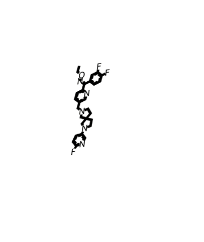 CCON=C(c1ccc(F)c(F)c1)c1ccc(CN2CCC3(CCN(c4ccc(F)nc4)C3)C2)cn1